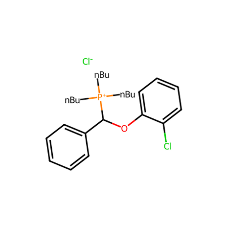 CCCC[P+](CCCC)(CCCC)C(Oc1ccccc1Cl)c1ccccc1.[Cl-]